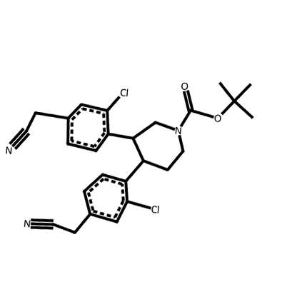 CC(C)(C)OC(=O)N1CCC(c2ccc(CC#N)cc2Cl)C(c2ccc(CC#N)cc2Cl)C1